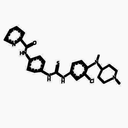 CN1CCC(N(C)c2ccc(NC(=S)Nc3ccc(NC(=O)c4ccccn4)cc3)cc2Cl)CC1